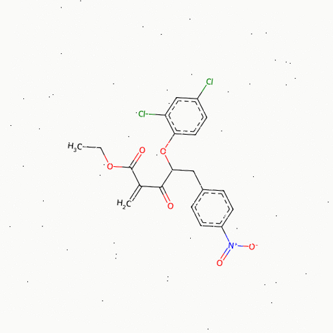 C=C(C(=O)OCC)C(=O)C(Cc1ccc([N+](=O)[O-])cc1)Oc1ccc(Cl)cc1Cl